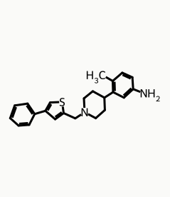 Cc1ccc(N)cc1C1CCN(Cc2cc(-c3ccccc3)cs2)CC1